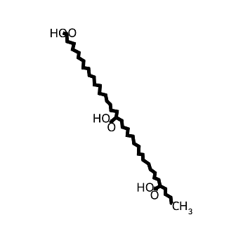 CCCCCC(CCCCCCCCCCCCCCCC(CCCCCCCCCCCCCCCCCCC(=O)O)C(=O)O)C(=O)O